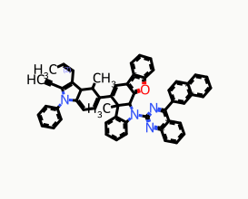 C#CC1=C(/C=C\C)C2C(=CC=C(C3=Cc4c(oc5ccccc45)C4N(c5nc(-c6ccc7ccccc7c6)c6ccccc6n5)c5ccccc5C34C)C2C)N1c1ccccc1